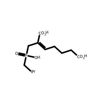 CC(C)CP(=O)(O)CC(=CCCCC(=O)O)C(=O)O